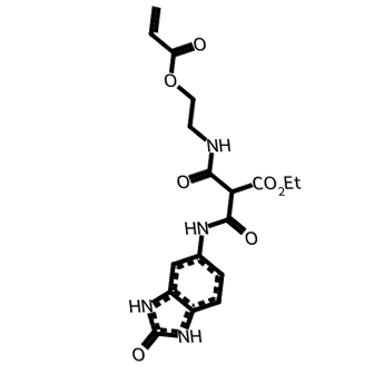 C=CC(=O)OCCNC(=O)C(C(=O)Nc1ccc2[nH]c(=O)[nH]c2c1)C(=O)OCC